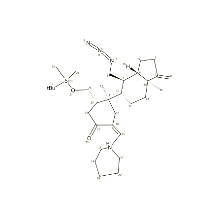 C=C1CC[C@H]2[C@H](CN=[N+]=[N-])[C@@H]([C@@]3(C)CC(=CN4CCCCC4)C(=O)C[C@@H]3CO[Si](C)(C)C(C)(C)C)CC[C@]12C